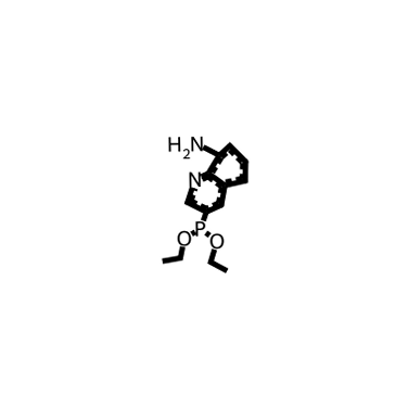 CCOP(OCC)c1cnc2c(N)cccc2c1